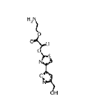 NCCOC(=O)C(=O)Oc1nc(-c2cc(CO)no2)cs1